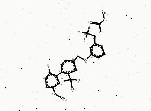 COC(=O)C[C@H](c1cccc(OCc2ccc(-c3cc(OC)ccc3F)c(C(C)(C)C)c2)c1)C(F)(F)F